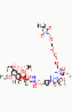 BC1CC(=O)N(CCOCCOCCOCCOCCC(=O)N[C@@H](C)C(=O)N[C@@H](C)C(=O)Nc2ccc(COC(=O)NCC34OC5c6c(C)cc7c(OC)c8c(c(O)c7c6O[C@](OC)(C5O3)[C@@]4(O)CBr)C(=O)CCC8)cc2)C1=O